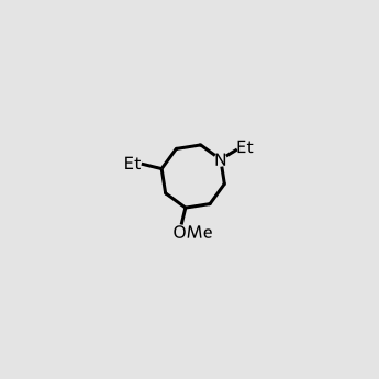 CCC1CCN(CC)CCC(OC)C1